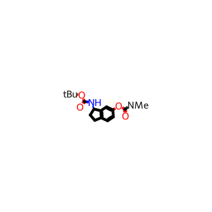 CNC(=O)Oc1ccc2c(c1)[C@H](NC(=O)OC(C)(C)C)CC2